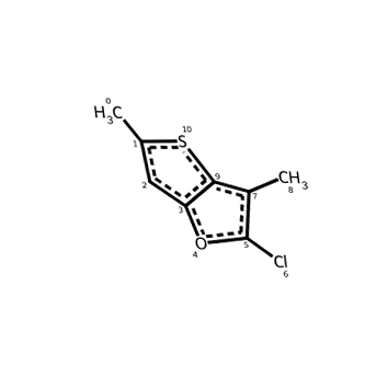 Cc1cc2oc(Cl)c(C)c2s1